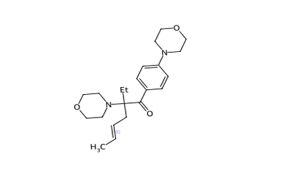 C/C=C/CC(CC)(C(=O)c1ccc(N2CCOCC2)cc1)N1CCOCC1